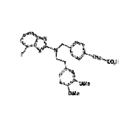 COc1ccc(CCN(Cc2ccc(C#CC(=O)O)cc2)c2nc3cccc(F)c3s2)cc1OC